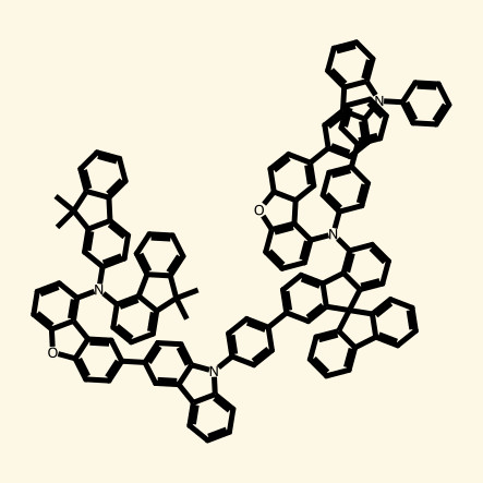 CC1(C)c2ccccc2-c2ccc(N(c3cccc4c3-c3ccccc3C4(C)C)c3cccc4oc5ccc(-c6ccc7c(c6)c6ccccc6n7-c6ccc(-c7ccc8c(c7)C7(c9ccccc9-c9ccccc97)c7cccc(N(c9ccc(-c%10ccccc%10)cc9)c9cccc%10c9C9C=C(c%11ccc%12c(c%11)c%11ccccc%11n%12-c%11ccccc%11)C=CC9O%10)c7-8)cc6)cc5c34)cc21